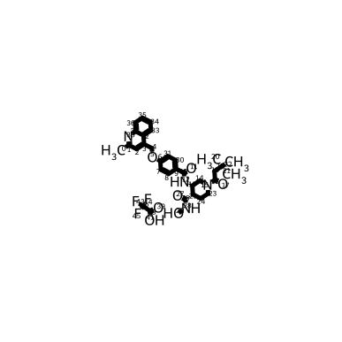 Cc1cc(COc2ccc(C(=O)N[C@@H]3CN(C(=O)CC(C)(C)C)CC[C@@H]3C(=O)NO)cc2)c2ccccc2n1.O=C(O)C(F)(F)F